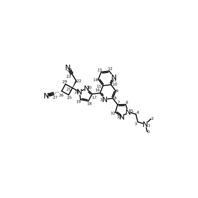 CN(C)CCn1cc(-c2cc3ncccc3c(-c3ccn([C@]4(CC#N)C[C@H](C#N)C4)n3)n2)cn1